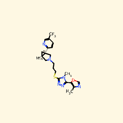 Cc1ncoc1-c1nnc(SCCCN2C[C@H]3C[C@@]3(c3ccc(C(F)(F)F)cn3)C2)n1C